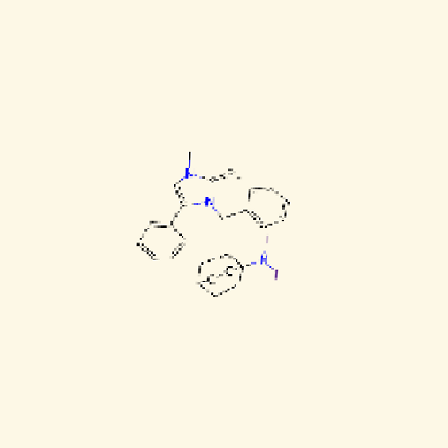 Cn1cc(-c2ccccc2)n(Cc2ccccc2)[c]1=[Pt].IN(I)C12CCC(CC1)CC2